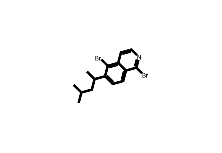 CC(C)CC(C)c1ccc2c(Br)nccc2c1Br